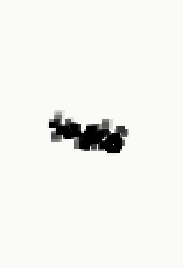 CNC(=O)c1cc(-n2ncc3cc(Nc4c(Cl)cccc4OC)ncc32)cs1